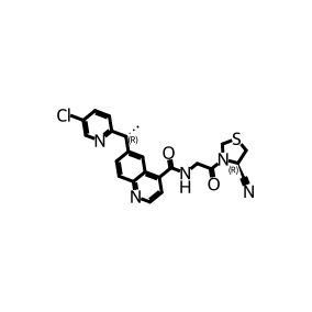 C[C@H](c1ccc2nccc(C(=O)NCC(=O)N3CSC[C@H]3C#N)c2c1)c1ccc(Cl)cn1